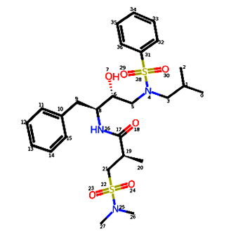 CC(C)CN(C[C@@H](O)[C@H](Cc1ccccc1)NC(=O)[C@@H](C)CS(=O)(=O)N(C)C)S(=O)(=O)c1ccccc1